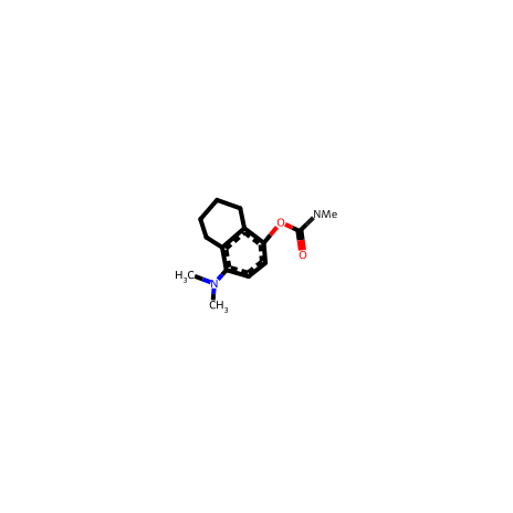 CNC(=O)Oc1ccc(N(C)C)c2c1CCCC2